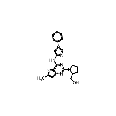 Cc1cc2nc(N3CCCC3CO)nc(Nc3cn(-c4ccccc4)cn3)c2s1